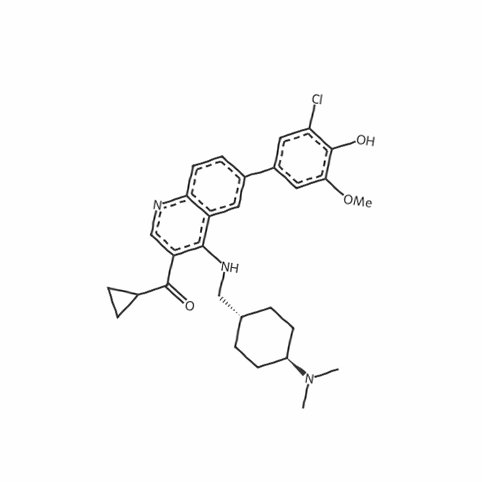 COc1cc(-c2ccc3ncc(C(=O)C4CC4)c(NC[C@H]4CC[C@H](N(C)C)CC4)c3c2)cc(Cl)c1O